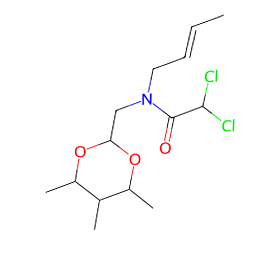 CC=CCN(CC1OC(C)C(C)C(C)O1)C(=O)C(Cl)Cl